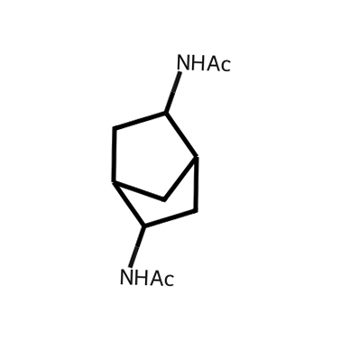 CC(=O)NC1CC2CC1CC2NC(C)=O